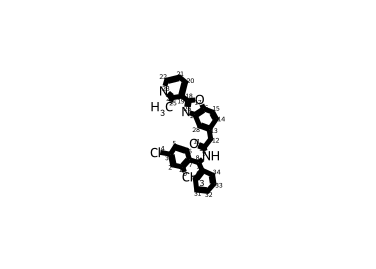 Cc1cc(Cl)ccc1C(NC(=O)Cc1ccc2oc(-c3cccnc3C)nc2c1)c1ccccc1